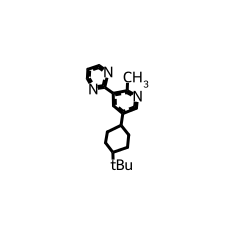 Cc1ncc(C2CCC(C(C)(C)C)CC2)cc1-c1ncccn1